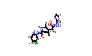 Cc1c(C(=O)C(=O)Nc2nccs2)c(C)n(C)c1C(=O)Nc1ccc(F)c(F)c1